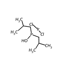 CC(C)CP(O)CC(C)C.[Cl][Ir][Cl]